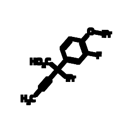 CC#CC(C(=O)O)(c1ccc(OC(C)C)c(F)c1)C(C)C